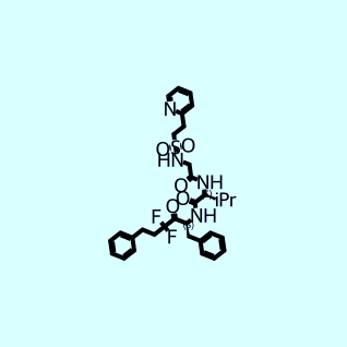 CC(C)[C@H](NC(=O)CNS(=O)(=O)CCc1ccccn1)C(=O)N[C@@H](Cc1ccccc1)C(=O)C(F)(F)CCc1ccccc1